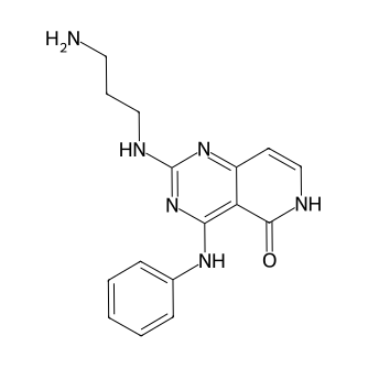 NCCCNc1nc(Nc2ccccc2)c2c(=O)[nH]ccc2n1